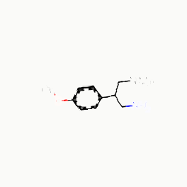 CCCOc1ccc(C(CN)CNC)cc1